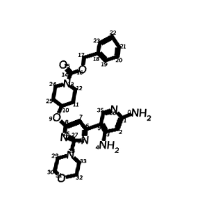 Nc1cc(N)c(-c2cc(OC3CCN(C(=O)OCc4ccccc4)CC3)nc(N3CCOCC3)n2)cn1